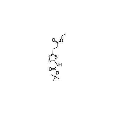 CCOC(=O)CCc1cnc(NC(=O)OC(C)(C)C)s1